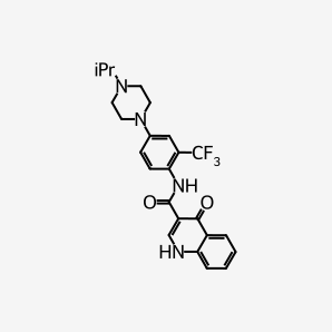 CC(C)N1CCN(c2ccc(NC(=O)c3c[nH]c4ccccc4c3=O)c(C(F)(F)F)c2)CC1